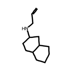 C=CCNC1CCC2CCCCC2C1